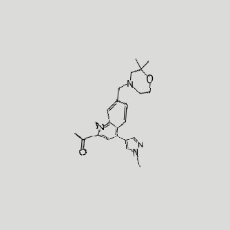 CC(=O)c1cc(-c2cnn(C)c2)c2ccc(CN3CCOC(C)(C)C3)cc2n1